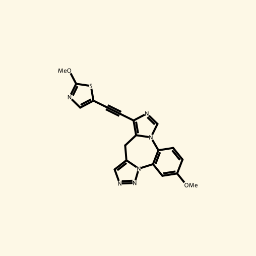 COc1ccc2c(c1)-n1nncc1Cc1c(C#Cc3cnc(OC)s3)ncn1-2